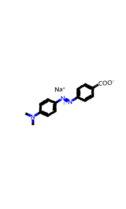 CN(C)c1ccc(/N=N/c2ccc(C(=O)[O-])cc2)cc1.[Na+]